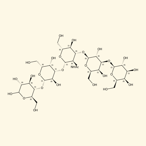 CC(=O)N[C@H]1[C@H](O[C@H]2[C@@H](O)[C@@H](CO)O[C@@H](O[C@H]3[C@H](O)[C@@H](O)C(O)O[C@@H]3CO)[C@@H]2O)O[C@H](CO)[C@@H](O)[C@@H]1O[C@@H]1O[C@H](CO)[C@H](O)[C@H](O[C@@H]2O[C@H](CO)[C@H](O)[C@H](O)[C@H]2O)[C@H]1O